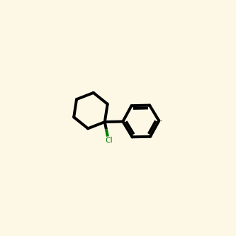 ClC1(c2cc[c]cc2)CCCCC1